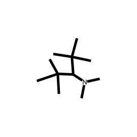 CN(C)C(C(C)(C)C)C(C)(C)C